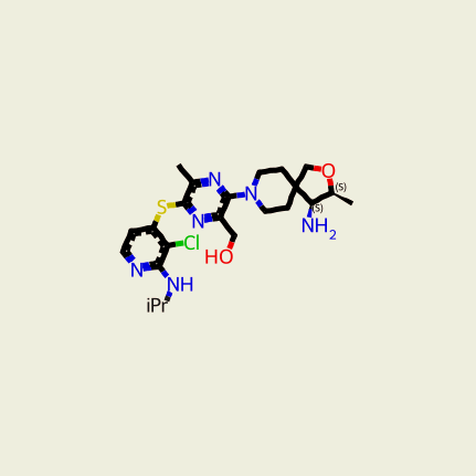 Cc1nc(N2CCC3(CC2)CO[C@@H](C)[C@H]3N)c(CO)nc1Sc1ccnc(NC(C)C)c1Cl